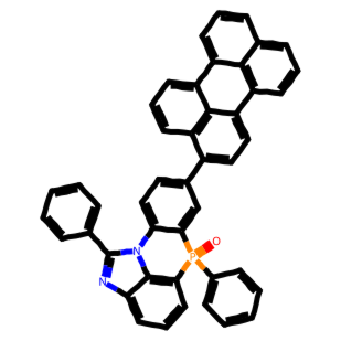 O=P1(c2ccccc2)c2cc(-c3ccc4c5cccc6cccc(c7cccc3c74)c65)ccc2-n2c(-c3ccccc3)nc3cccc1c32